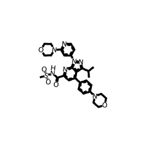 CC(C)c1nn(-c2ccnc(N3CCOCC3)c2)c2nc(C(=O)NS(C)(=O)=O)cc(-c3ccc(N4CCOCC4)cc3)c12